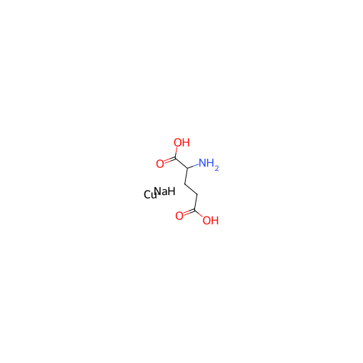 NC(CCC(=O)O)C(=O)O.[Cu].[NaH]